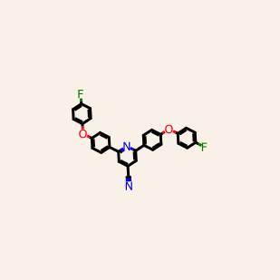 N#Cc1cc(-c2ccc(Oc3ccc(F)cc3)cc2)nc(-c2ccc(Oc3ccc(F)cc3)cc2)c1